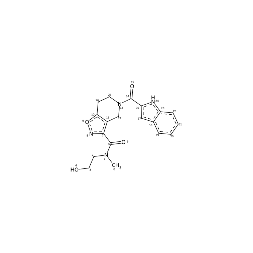 CN(CCO)C(=O)c1noc2c1CN(C(=O)c1cc3ccccc3[nH]1)CC2